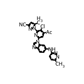 CC(=O)c1cc(-n2cnc3ccc(Nc4ccc(C)nn4)cc32)nc(-n2nc(C#N)cc2C)c1Cl